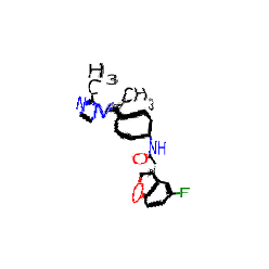 Cc1nccn1[C@@H](C)c1ccc(NC(=O)C[C@H]2COc3ccc(F)cc32)cc1